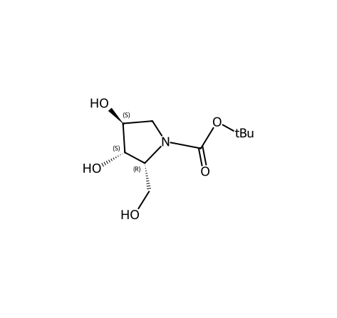 CC(C)(C)OC(=O)N1C[C@H](O)[C@@H](O)[C@H]1CO